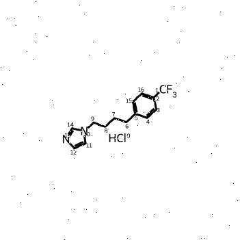 Cl.FC(F)(F)c1ccc(CCCCn2ccnc2)cc1